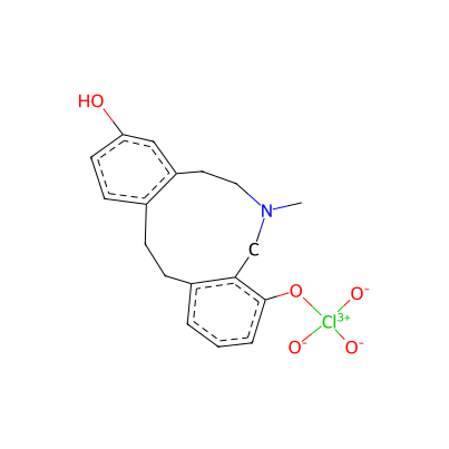 CN1CCc2cc(O)ccc2CCc2cccc(O[Cl+3]([O-])([O-])[O-])c2C1